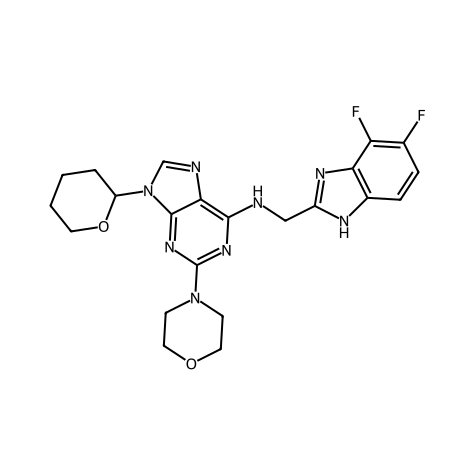 Fc1ccc2[nH]c(CNc3nc(N4CCOCC4)nc4c3ncn4C3CCCCO3)nc2c1F